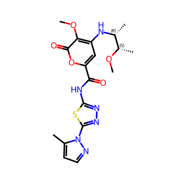 COc1c(N[C@H](C)[C@H](C)OC)cc(C(=O)Nc2nnc(-n3nccc3C)s2)oc1=O